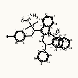 CC(C)(C(Cc1ccc(F)cc1)c1c(CP(c2ccccc2)c2ccccc2)n(S(=O)(=O)c2ccccc2)c2ccccc12)[S+](N)[O-]